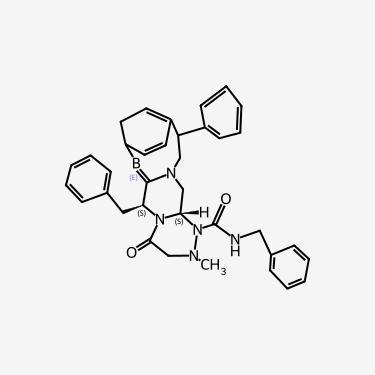 CN1CC(=O)N2[C@@H](Cc3ccccc3)/C3=B\C4C=CC(=CC4)C(c4ccccc4)CN3C[C@@H]2N1C(=O)NCc1ccccc1